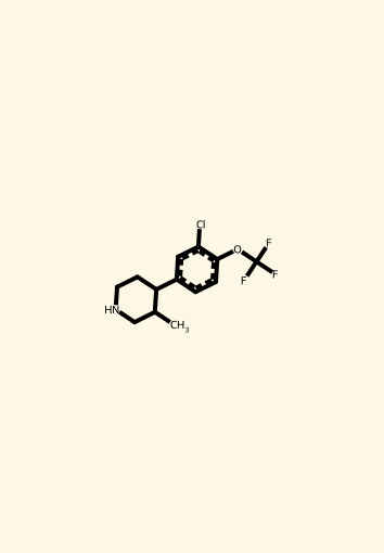 CC1CNCCC1c1ccc(OC(F)(F)F)c(Cl)c1